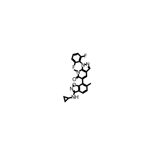 Cc1ccc2c(NC3CC3)noc2c1-c1cc2cnn(-c3c(F)cccc3F)c2n(C)c1=O